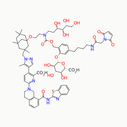 Cc1c(-c2ccc(N3CCc4cccc(C(=O)Nc5nc6ccccc6s5)c4C3)nc2C(=O)O)cnn1CC1(C)CC2(C)CC(C)(C)CC(OCCN(CC[C@@H](O)[C@H](O)[C@H](O)CO)C(=O)OCc3ccc(CCCCNC(=O)CN4C(=O)C=CC4=O)cc3O[C@@H]3O[C@H](C(=O)O)[C@@H](O)[C@H](O)[C@H]3O)(C1)C2